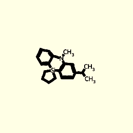 CC(C)c1ccc2c(c1)N(C)c1ccccc1[Si]21CCCC1